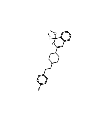 COC1(OC)OC(C2CCN(CCc3ccc(F)cc3)CC2)=Cc2ccccc21